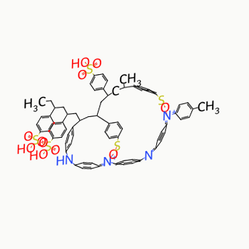 CCC(CC(CC1CC2CC(c3ccc(S(=O)(=O)O)cc3)CC(C)c3ccc(cc3)SO[N+](c3ccc(C)cc3)=c3ccc(cc3)=Nc3ccc(cc3)[N+](=C3C=CC(C=C3)Nc3ccc1cc3)OSc1ccc2cc1)c1ccc(S(=O)(=O)O)cc1)c1ccc(S(=O)(=O)O)cc1